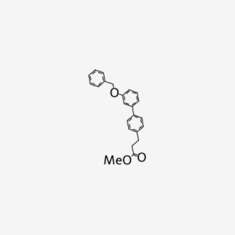 COC(=O)CCc1ccc(-c2cccc(OCc3ccccc3)c2)cc1